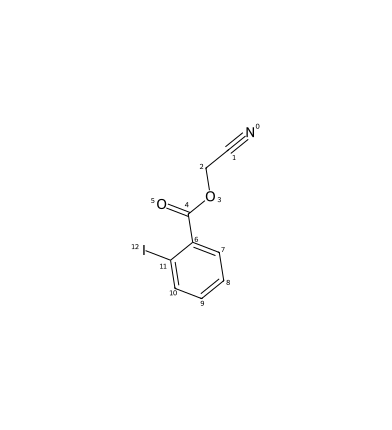 N#CCOC(=O)c1ccccc1I